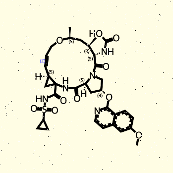 COc1ccc2c(O[C@@H]3C[C@H]4C(=O)NC5(C(=O)NS(=O)(=O)C6CC6)C[C@H]5/C=C\CO[C@@H](C)C[C@@H](C)[C@H](NC(=O)O)C(=O)N4C3)nccc2c1